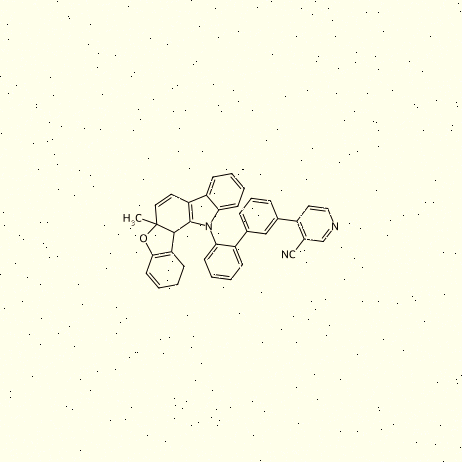 CC12C=Cc3c(n(-c4ccccc4-c4cccc(-c5ccncc5C#N)c4)c4ccccc34)C1C1=C(C=CCC1)O2